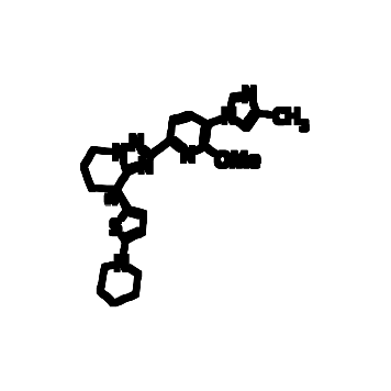 COc1nc(-c2nc3n(n2)CCC[C@@H]3c2ccc(N3CCCCC3)s2)ccc1-n1cnc(C)c1